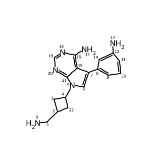 NCC1CC(n2cc(-c3cccc(N)c3)c3c(N)ncnc32)C1